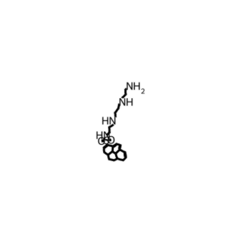 NCCCNCCCCNCCCNS(=O)(=O)C1=CCC2CCC3CC=CC4=CC=C1C2C43